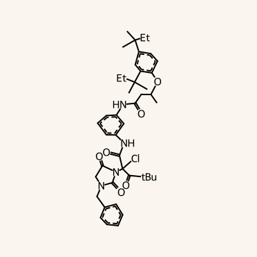 CCC(C)(C)c1ccc(OC(C)CC(=O)Nc2cccc(NC(=O)C(Cl)(C(=O)C(C)(C)C)N3C(=O)CN(Cc4ccccc4)C3=O)c2)c(C(C)(C)CC)c1